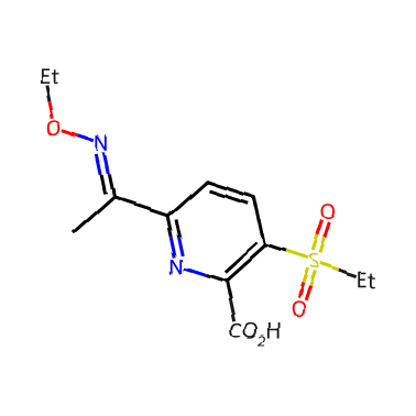 CCO/N=C(\C)c1ccc(S(=O)(=O)CC)c(C(=O)O)n1